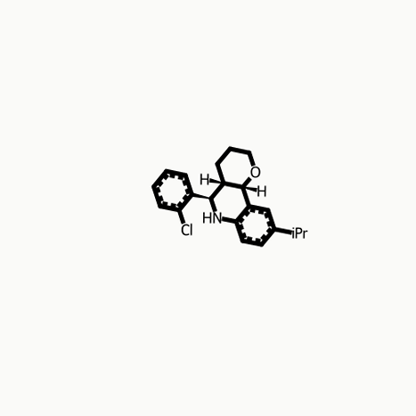 CC(C)c1ccc2c(c1)[C@H]1OCCC[C@H]1[C@H](c1ccccc1Cl)N2